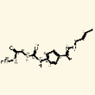 CC=CCON=C(C)c1ccc(NC(=O)NCC(=O)OCCC)cc1